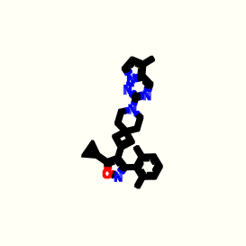 Cc1cccc(C)c1-c1noc(C2CC2)c1C1=CC2(CCN(c3ncc4c(C)ccn4n3)CC2)C1